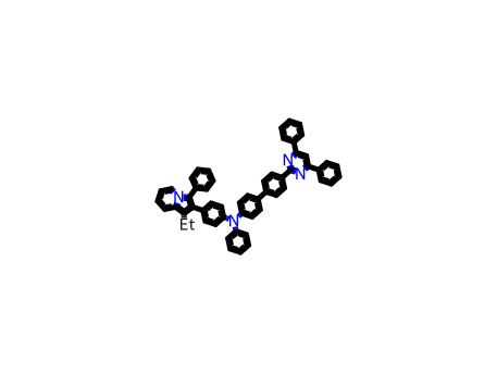 CCc1c(-c2ccc(N(c3ccccc3)c3ccc(-c4ccc(-c5nc(-c6ccccc6)cc(-c6ccccc6)n5)cc4)cc3)cc2)c(-c2ccccc2)n2ccccc12